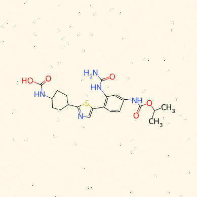 CC(C)OC(=O)Nc1ccc(-c2cnc(C3CCC(NC(=O)O)CC3)s2)c(NC(N)=O)c1